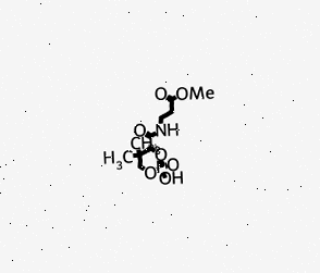 COC(=O)CCNC(=O)[C@@H]1OP(=O)(O)OCC1(C)C